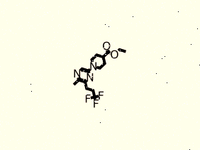 CCOC(=O)C1CCN(c2cnc(C)c(CCC(F)(F)F)n2)CC1